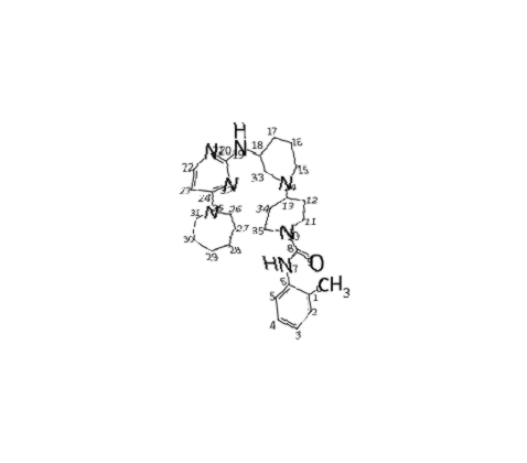 Cc1ccccc1NC(=O)N1CCC(N2CCCC(Nc3nccc(N4CCCCCC4)n3)C2)CC1